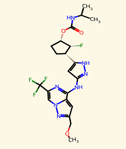 COCc1cc2c(Nc3cc([C@@H]4CC[C@H](OC(=O)NC(C)C)[C@@H]4F)[nH]n3)nc(C(F)(F)F)cn2n1